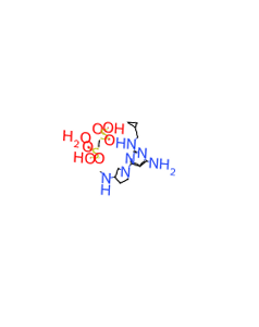 CN[C@@H]1CCN(c2cc(N)nc(NCC3CC3)n2)C1.O.O=S(=O)(O)CCS(=O)(=O)O